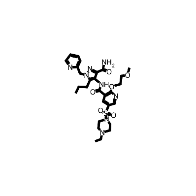 CCCc1c(NC(=O)c2cc(S(=O)(=O)N3CCN(CC)CC3)cnc2OCCOC)c(C(N)=O)nn1Cc1ccccn1